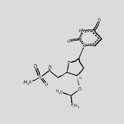 CC(C)O[C@H]1CC(n2ccc(=O)[nH]c2=O)OC1CNS(C)(=O)=O